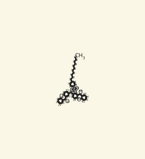 CCCCCCCCCCCCc1ccc(S(=O)(=O)O[I+](c2ccc3oc4ccccc4c(=O)c3c2)c2ccc3oc4ccccc4c(=O)c3c2)cc1